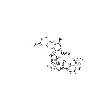 COc1cc(F)c(O[C@H]2CC[C@@H](C(=O)O)CC2)cc1C(=O)N[C@H]1[C@@H](C(=O)Nc2ccc(F)c(S(=O)(=O)C(F)(F)F)c2)[C@@H]2C=C[C@H]1C2